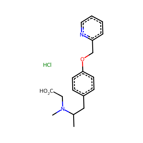 CC(Cc1ccc(OCc2ccccn2)cc1)N(C)CC(=O)O.Cl